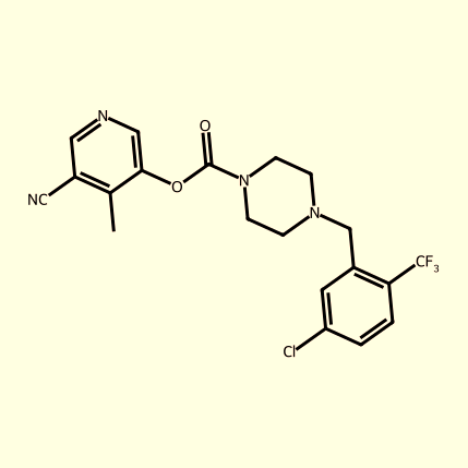 Cc1c(C#N)cncc1OC(=O)N1CCN(Cc2cc(Cl)ccc2C(F)(F)F)CC1